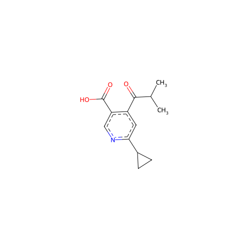 CC(C)C(=O)c1cc(C2CC2)ncc1C(=O)O